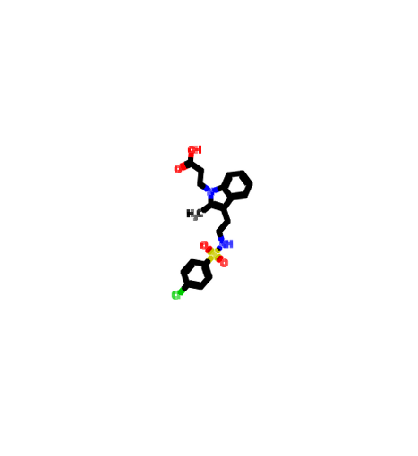 Cc1c(CCNS(=O)(=O)c2ccc(Cl)cc2)c2ccccc2n1CCC(=O)O